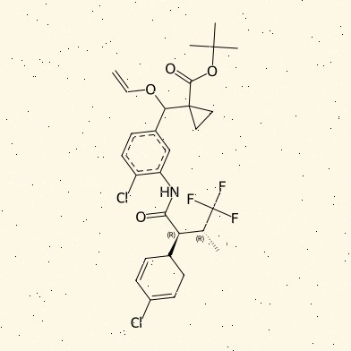 C=COC(c1ccc(Cl)c(NC(=O)[C@H](C2C=CC(Cl)=CC2)[C@@H](C)C(F)(F)F)c1)C1(C(=O)OC(C)(C)C)CC1